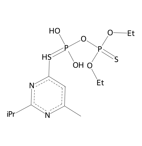 CCOP(=S)(OCC)OP(O)(O)=[SH]c1cc(C)nc(C(C)C)n1